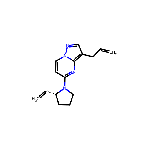 C=CCc1cnn2ccc(N3CCC[C@@H]3C=C)nc12